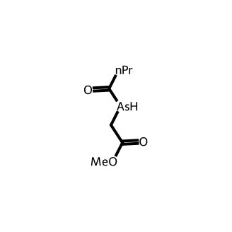 CCCC(=O)[AsH]CC(=O)OC